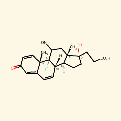 C[C@]12C=CC(=O)C=C1C=C[C@H]1[C@@H]3CC[C@](O)(CCC(=O)O)[C@@]3(C)CC(N=O)[C@@]12F